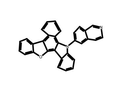 c1ccc2c(c1)oc1c2c2ccccc2c2c1c1ccccc1n2-c1ccc2cnccc2c1